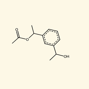 CC(=O)OC(C)c1cccc(C(C)O)c1